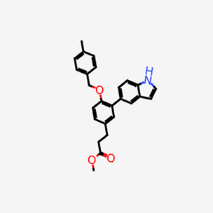 COC(=O)CCc1ccc(OCc2ccc(C)cc2)c(-c2ccc3[nH]ccc3c2)c1